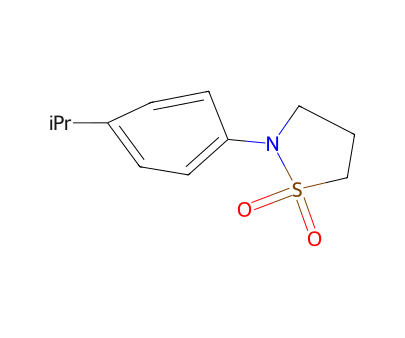 CC(C)c1ccc(N2CCCS2(=O)=O)cc1